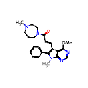 COc1ncnc2c1c(/C=C/C(=O)N1CCCN(C)CC1)c(-c1ccccc1)n2C